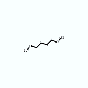 CCOC[CH]CCOCC